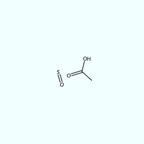 CC(=O)O.O=S